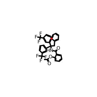 CC(=O)Oc1ccccc1C(=O)NC(Cc1ccccc1)(c1cccc(C(F)(F)F)c1)c1cccc(C(F)(F)F)c1